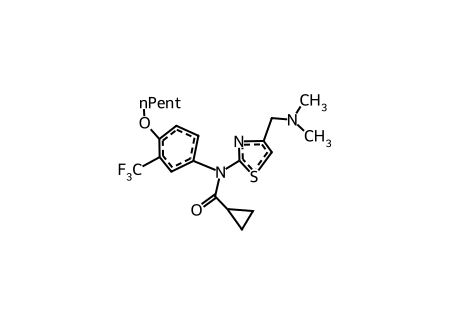 CCCCCOc1ccc(N(C(=O)C2CC2)c2nc(CN(C)C)cs2)cc1C(F)(F)F